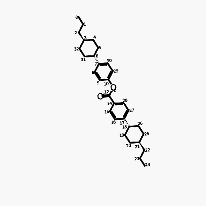 CCC[C@H]1CC[C@H](c2ccc(OC(=O)c3ccc([C@H]4CC[C@H](CCC)CC4)cc3)cc2)CC1